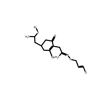 CCSC(C)CC1CC(=O)C(C/C(C)=N/OCC=CCl)=C(O)C1